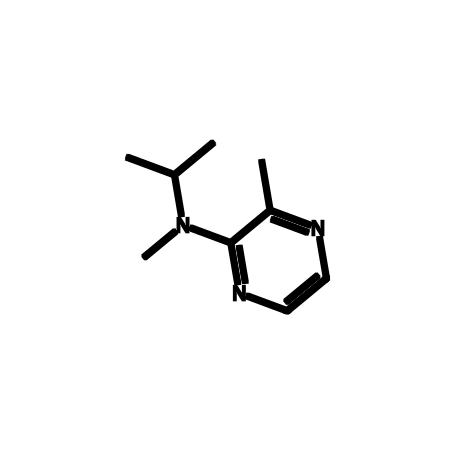 Cc1nccnc1N(C)C(C)C